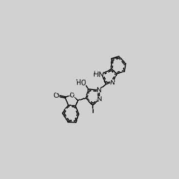 Cc1nn(-c2nc3ccccc3[nH]2)c(O)c1C1OC(=O)c2ccccc21